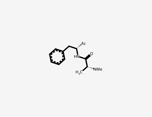 CN[C@H](C)C(=O)N[C@H](Cc1ccccc1)C(C)=O